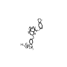 CP(C)(=O)c1ccc(Sc2cnc3nnn(Cc4ccc5ncccc5c4)c3n2)cc1F